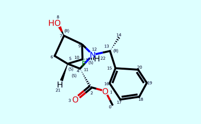 COC(=O)[C@@H]1[C@@H]2C[C@@H](O)C([C@H]2F)N1[C@H](C)c1ccccc1